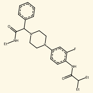 CCNC(=O)C(c1ccccc1)N1CCN(c2ccc(NC(=O)C(CC)CC)c(F)c2)CC1